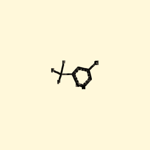 FC(F)(F)c1cc(Cl)cnn1